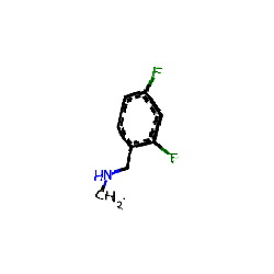 [CH2]NCc1ccc(F)cc1F